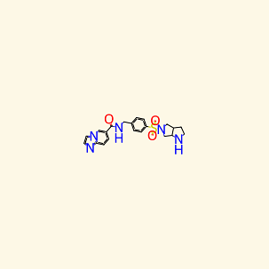 O=C(NCc1ccc(S(=O)(=O)N2CC3CCNC3C2)cc1)c1ccc2nccn2c1